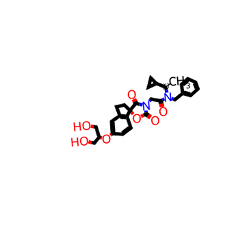 C[C@@H](C1CC1)N(Cc1ccccc1)C(=O)CN1C(=O)OC2(CCc3cc(OC(CO)CO)ccc32)C1=O